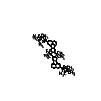 CC1(C)c2cc3c(cc2C(C)(C(F)(F)F)c2cc4c(cc21)-c1cccc2cc(B5OC(C)(C)C(C)(C)O5)cc-4c12)-c1cccc2cc(B4OC(C)(C)C(C)(C)O4)cc-3c12